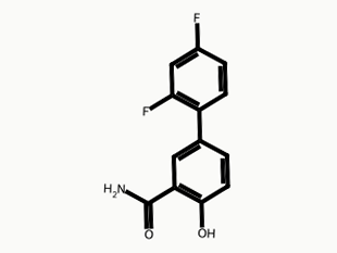 NC(=O)c1cc(-c2ccc(F)cc2F)ccc1O